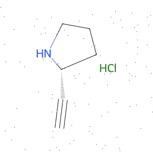 C#C[C@H]1CCCN1.Cl